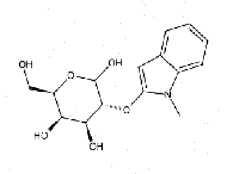 Cn1c(O[C@H]2C(O)O[C@H](CO)[C@H](O)[C@@H]2O)cc2ccccc21